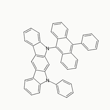 c1ccc(-c2c3ccccc3c(-n3c4ccccc4c4cc5c6ccccc6n(-c6ccccc6)c5cc43)c3ccccc23)cc1